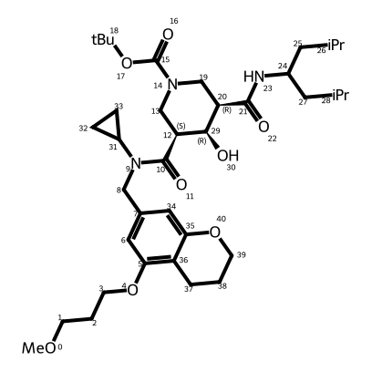 COCCCOc1cc(CN(C(=O)[C@H]2CN(C(=O)OC(C)(C)C)C[C@@H](C(=O)NC(CC(C)C)CC(C)C)[C@H]2O)C2CC2)cc2c1CCCO2